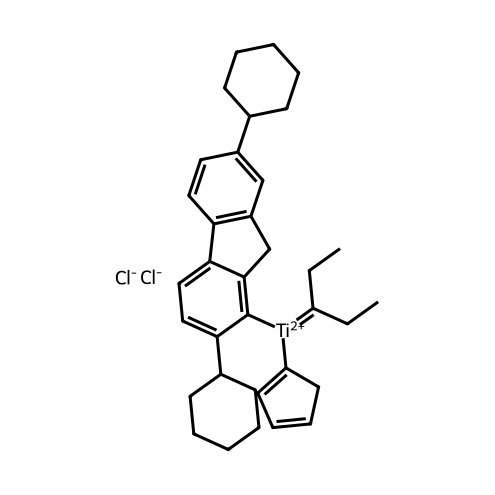 CC[C](CC)=[Ti+2]([C]1=CC=CC1)[c]1c(C2CCCCC2)ccc2c1Cc1cc(C3CCCCC3)ccc1-2.[Cl-].[Cl-]